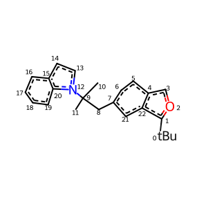 CC(C)(C)c1occ2ccc(CC(C)(C)n3ccc4ccccc43)cc12